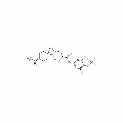 C[SiH2][C@H]1CC[C@](C)([C@H]2CC[C@H](C(=O)Oc3cc(F)c(OC(F)(F)F)c(F)c3)CC2)CC1